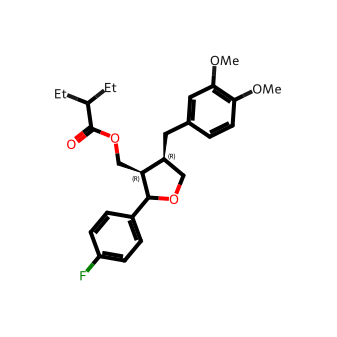 CCC(CC)C(=O)OC[C@@H]1C(c2ccc(F)cc2)OC[C@@H]1Cc1ccc(OC)c(OC)c1